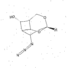 [N-]=[N+]=NC1C2C3O[C@H]1OCC3[C@H]2O